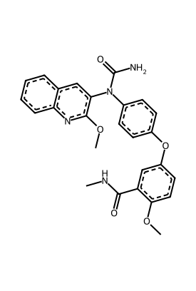 CNC(=O)c1cc(Oc2ccc(N(C(N)=O)c3cc4ccccc4nc3OC)cc2)ccc1OC